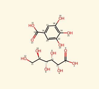 O=C(O)[C@H](O)[C@@H](O)[C@H](O)[C@H](O)CO.O=C(O)c1cc(O)c(O)c(O)c1